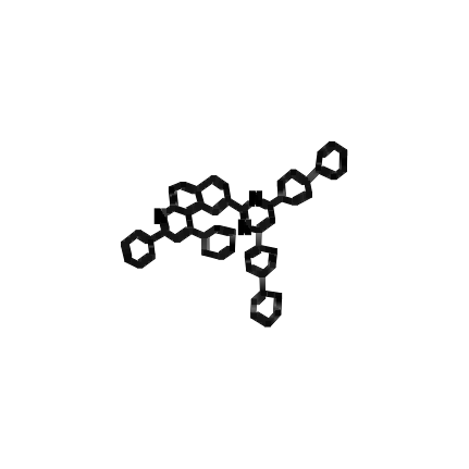 c1ccc(-c2ccc(-c3cc(-c4ccc(-c5ccccc5)cc4)nc(-c4ccc5ccc6nc(-c7ccccc7)cc(-c7ccccc7)c6c5c4)n3)cc2)cc1